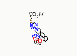 CC(C)(C)OC(=O)N[C@@H]1c2ccccc2CC12CCN(c1ncc(SCCC(=O)O)nn1)CC2